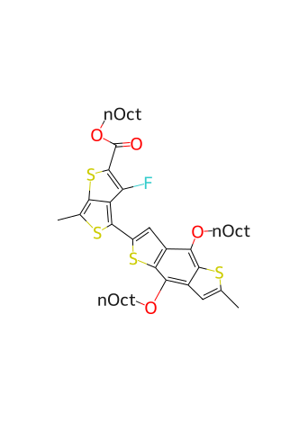 CCCCCCCCOC(=O)c1sc2c(C)sc(-c3cc4c(OCCCCCCCC)c5sc(C)cc5c(OCCCCCCCC)c4s3)c2c1F